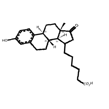 C[C@]12CC[C@@H]3c4ccc(O)cc4CC[C@H]3[C@@H]1C(CCCCCC(=O)O)CC2=O